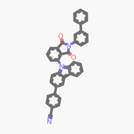 N#Cc1ccc(-c2ccc3c(c2)c2ccccc2n3-c2cccc3c2C(=O)N(c2cccc(-c4ccccc4)c2)C3=O)cc1